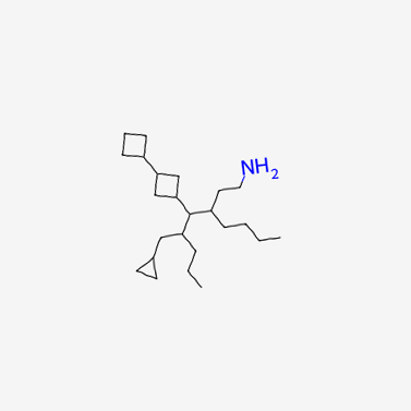 CCCCC(CCN)C(C(CCC)CC1CC1)C1CC(C2CCC2)C1